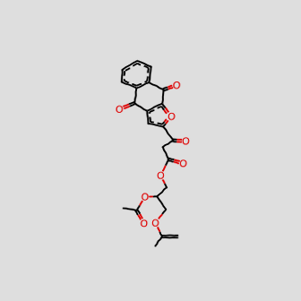 C=C(C)OCC(COC(=O)CC(=O)c1cc2c(o1)C(=O)c1ccccc1C2=O)OC(C)=O